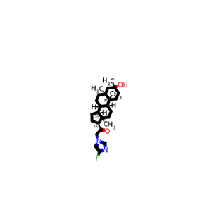 C[C@@]1(O)CC[C@]2(C)[C@H]3CC[C@]4(C)[C@@H](C(=O)Cn5cnc(F)c5)CC[C@H]4[C@@H]3CC[C@@]2(C)C1